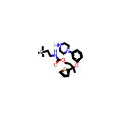 CC(CCOC(=O)NCC[Si](C)(C)C)(Oc1cccc(N2CCNCC2)c1)c1cccs1